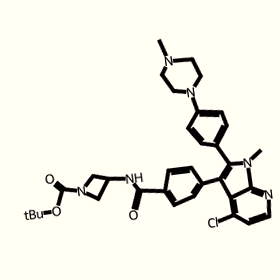 CN1CCN(c2ccc(-c3c(-c4ccc(C(=O)NC5CN(C(=O)OC(C)(C)C)C5)cc4)c4c(Cl)ccnc4n3C)cc2)CC1